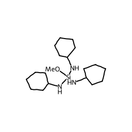 CO[Si](NC1CCCCC1)(NC1CCCCC1)NC1CCCCC1